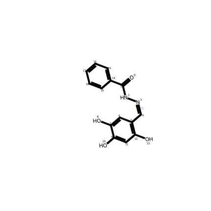 O=C(N/N=C\c1cc(O)c(O)cc1O)c1ccccc1